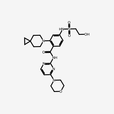 O=C(Nc1nccc(N2CCOCC2)n1)c1ccc(NS(=O)(=O)CCO)cc1N1CCC2(CC1)CC2